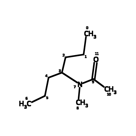 CCCC(CCC)N(C)C(C)=O